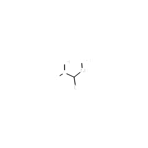 CCC(NC(=O)O)[S+](C)[O-]